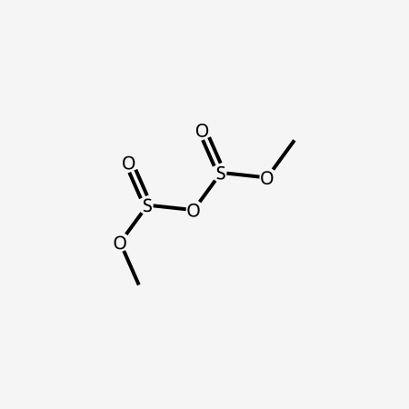 COS(=O)OS(=O)OC